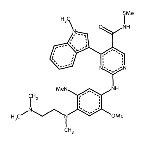 CNc1cc(Nc2ncc(C(=O)NSC)c(-c3cn(C)c4ccccc34)n2)c(OC)cc1N(C)CCN(C)C